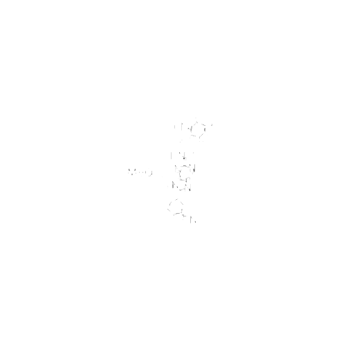 COCCCn1c(-c2cccc(C#N)c2)nc2cnc(NCCc3ccccc3Cl)nc21